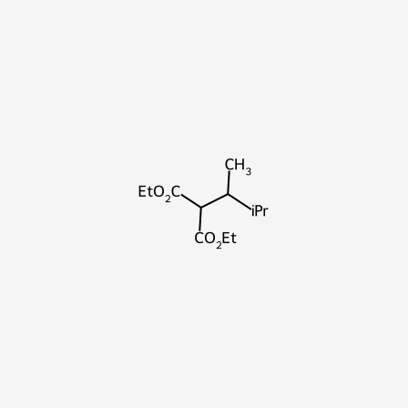 CCOC(=O)C(C(=O)OCC)C(C)C(C)C